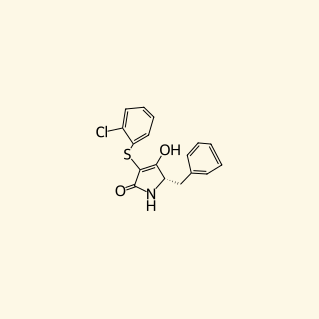 O=C1N[C@@H](Cc2ccccc2)C(O)=C1Sc1ccccc1Cl